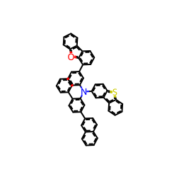 c1ccc(-c2ccc(-c3ccc4ccccc4c3)cc2N(c2cccc(-c3cccc4c3oc3ccccc34)c2)c2ccc3sc4ccccc4c3c2)cc1